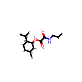 CCCNC(=O)C(=O)OC1CC(C)CCC1C(C)C